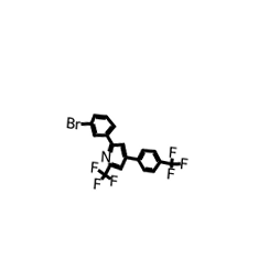 FC(F)(F)c1ccc(-c2cc(-c3cccc(Br)c3)nc(C(F)(F)F)c2)cc1